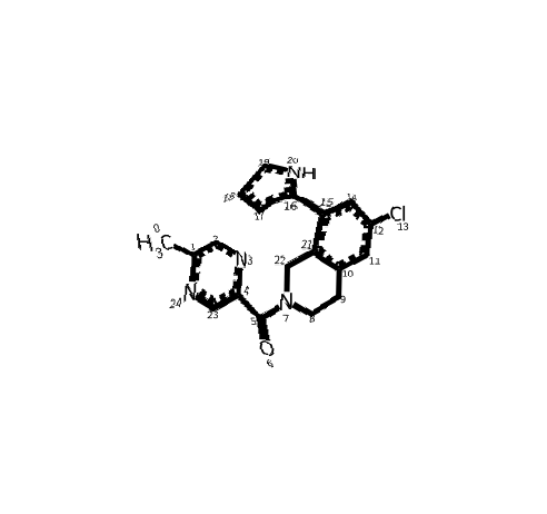 Cc1cnc(C(=O)N2CCc3cc(Cl)cc(-c4ccc[nH]4)c3C2)cn1